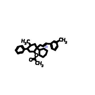 CC(=O)OC1CC(c2ccccc2)C(C)CC1(C/C=C/c1cccc(C)c1)C1CCCCC1